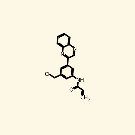 C=CC(=O)Nc1cc(CCl)cc(-c2cnc3ccccc3n2)c1